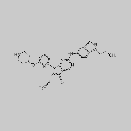 C=CCn1c(=O)c2cnc(Nc3ccc4c(cnn4CCC)c3)nc2n1-c1cccc(OC2CCNCC2)n1